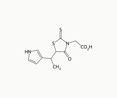 CC(c1cc[nH]c1)C1SC(=S)N(CC(=O)O)C1=O